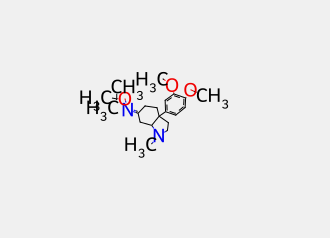 COc1ccc(C23CC/C(=N\OC(C)(C)C)CC2N(C)CC3)cc1OC